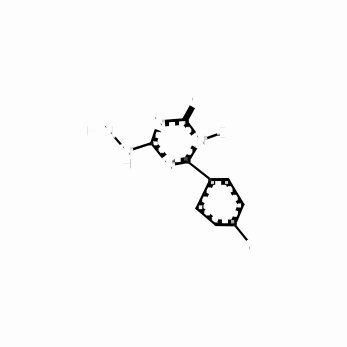 CCn1c(-c2ccc(Cl)cc2)nc(NN)nc1=O